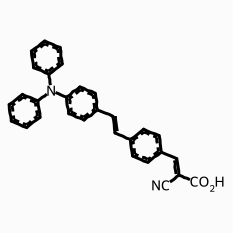 N#C/C(=C\c1ccc(/C=C/c2ccc(N(c3ccccc3)c3ccccc3)cc2)cc1)C(=O)O